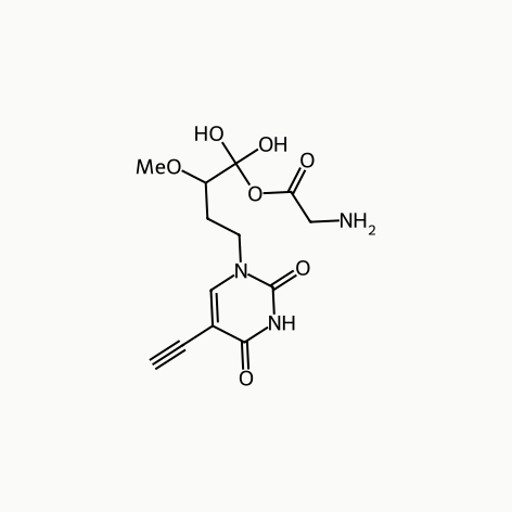 C#Cc1cn(CCC(OC)C(O)(O)OC(=O)CN)c(=O)[nH]c1=O